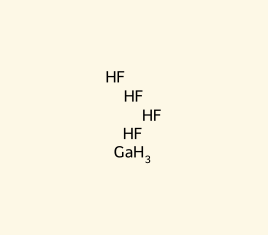 F.F.F.F.[GaH3]